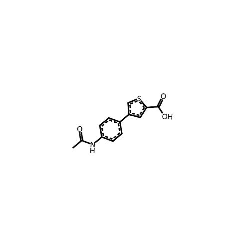 CC(=O)Nc1ccc(-c2csc(C(=O)O)c2)cc1